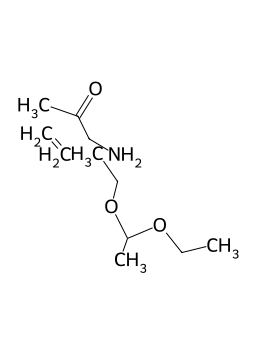 C=C.CC(=O)CN.CCOC(C)OCC